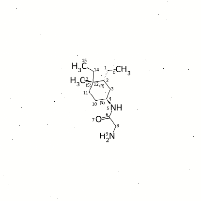 CC[C@@H]1C[C@@H](NC(=O)CN)CC[C@]1(C)CC